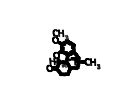 COc1ccc2c3c1O[C@@H]1C(=O)CCC4C(C2)N(C)CC[C@]341